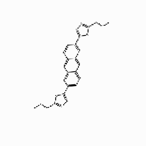 CCCc1nnc(-c2ccc3cc4cc(-c5nnc(CCC)s5)ccc4cc3c2)s1